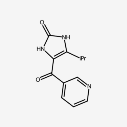 CC(C)c1[nH]c(=O)[nH]c1C(=O)c1cccnc1